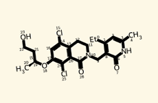 CCc1cc(C)[nH]c(=O)c1CN1CCc2c(Cl)cc(O[C@@H](C)CCO)c(Cl)c2C1=O